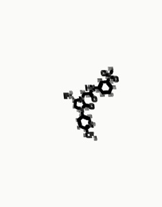 CC(C)[C@H]1CN(c2ccc(C(F)(F)F)nc2)C(=O)N1CC(=O)Nc1cccc(S(C)(=O)=O)c1